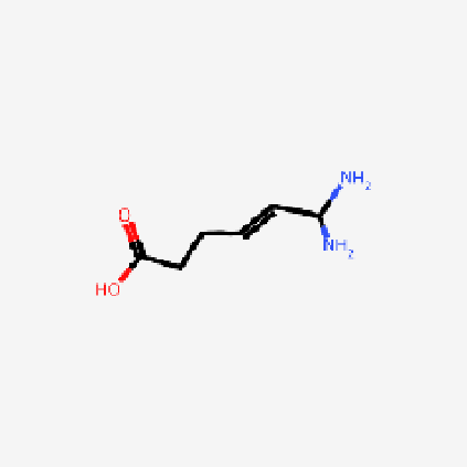 NC(N)C=CCCC(=O)O